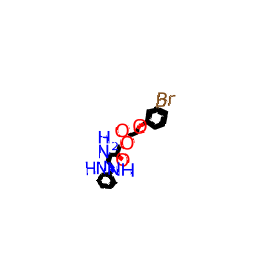 NC(C(=O)COC(=O)COc1cccc(Br)c1)=C1Nc2ccccc2N1